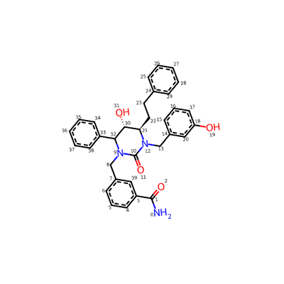 NC(=O)c1cccc(CN2C(=O)N(Cc3cccc(O)c3)[C@H](CCc3ccccc3)[C@@H](O)C2c2ccccc2)c1